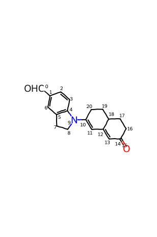 O=Cc1ccc2c(c1)CCN2C1=CC2=CC(=O)CCC2CC1